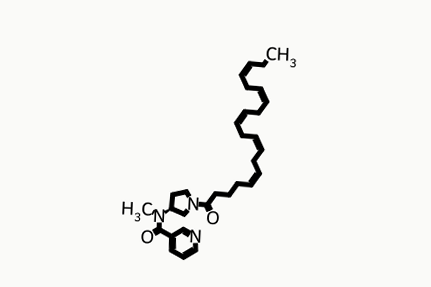 CC/C=C\C/C=C\C/C=C\C/C=C\C/C=C\CCCC(=O)N1CC[C@H](N(C)C(=O)c2cccnc2)C1